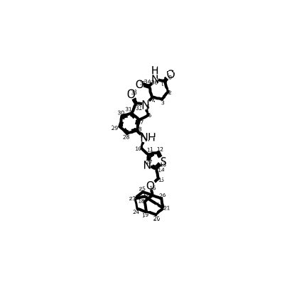 O=C1CCC(N2Cc3c(NCc4csc(COC56CC7CC(CC(C7)C5)C6)n4)cccc3C2=O)C(=O)N1